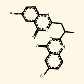 CC(Cc1nc2ccc(Br)cc2c(=O)o1)c1nc2ccc(Br)cc2c(=O)o1